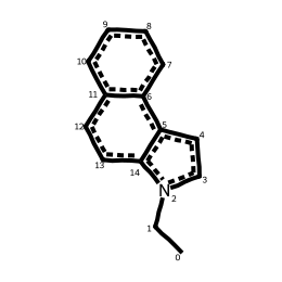 CCn1ccc2c3ccccc3ccc21